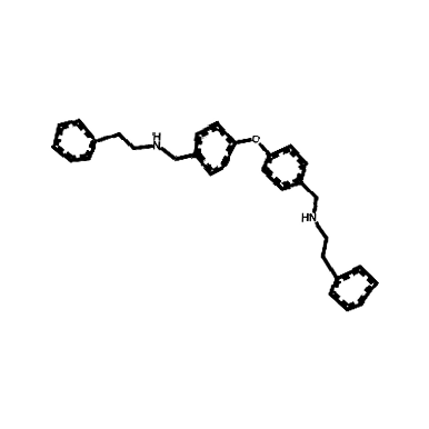 c1ccc(CCNCc2ccc(Oc3ccc(CNCCc4ccccc4)cc3)cc2)cc1